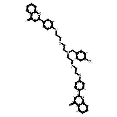 O=c1cc(-c2ccc(OCCOCCN(CCOCCOc3ccc(-c4cc(=O)c5ccccc5o4)cc3)Cc3ccc(C(F)(F)F)cc3)cc2)oc2ccccc12